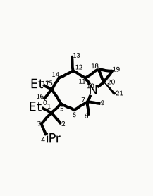 CCC(C)(CC(C)C)C1CC(C)(C)N2C(C(C)CC1(C)CC)C1C[C@@]12C